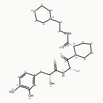 C[C@H](NC(=O)[C@H](O)Cc1ccc(O)c(O)c1)C(=O)N1CCCC[C@H]1C(=O)NCCN1CCOCC1